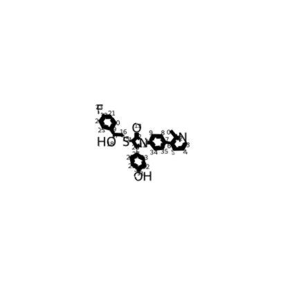 Cc1ncccc1-c1ccc(N2C(=O)[C@H](SC[C@@H](O)c3ccc(F)cc3)[C@H]2c2ccc(O)cc2)cc1